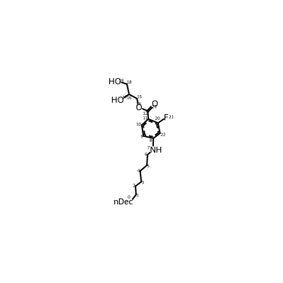 CCCCCCCCCCCCCCCCNc1ccc(C(=O)OCC(O)CO)c(F)c1